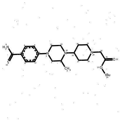 CC1CN(c2ccc(C(N)=S)cc2)CCN1C1CCN(CC(=O)OC(C)(C)C)CC1